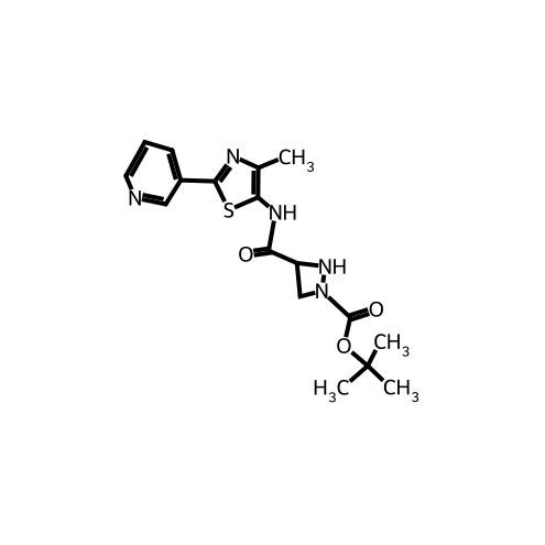 Cc1nc(-c2cccnc2)sc1NC(=O)C1CN(C(=O)OC(C)(C)C)N1